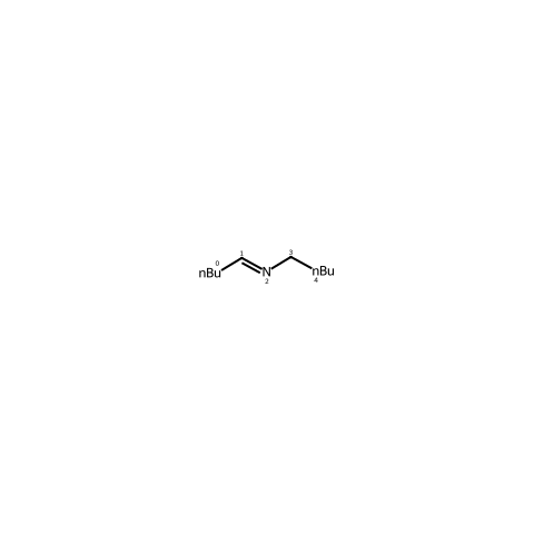 CCCCC=NCCCCC